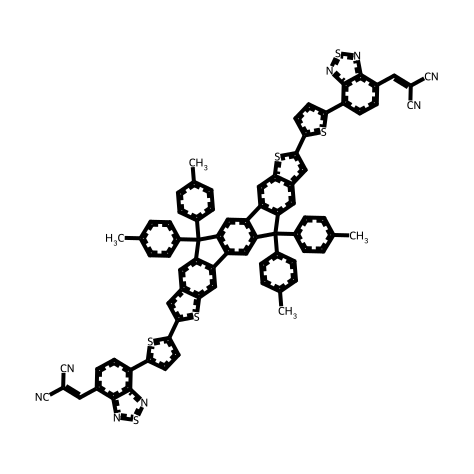 Cc1ccc(C2(c3ccc(C)cc3)c3cc4c(cc3-c3cc5sc(-c6ccc(-c7ccc(C=C(C#N)C#N)c8nsnc78)s6)cc5cc32)C(c2ccc(C)cc2)(c2ccc(C)cc2)c2cc3cc(-c5ccc(-c6ccc(C=C(C#N)C#N)c7nsnc67)s5)sc3cc2-4)cc1